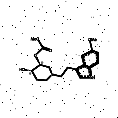 COC(=O)O[C@H]1CN(CCc2c[nH]c3ccc(OC)cc23)CC[C@@H]1O